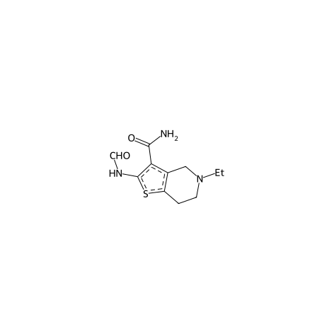 CCN1CCc2sc(NC=O)c(C(N)=O)c2C1